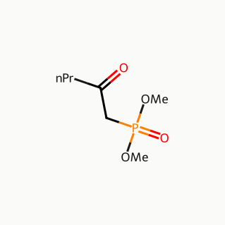 CCCC(=O)CP(=O)(OC)OC